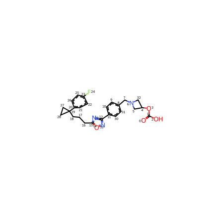 O=C(O)OC1CN(Cc2ccc(-c3noc(CCCC4(c5ccc(F)cc5)CC4)n3)cc2)C1